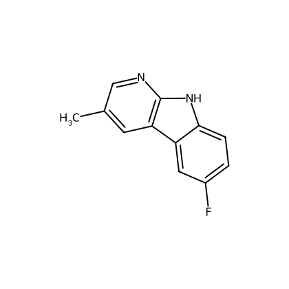 Cc1cnc2[nH]c3ccc(F)cc3c2c1